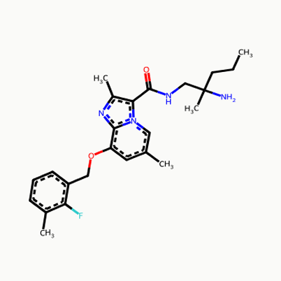 CCCC(C)(N)CNC(=O)c1c(C)nc2c(OCc3cccc(C)c3F)cc(C)cn12